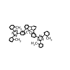 Cc1ccccc1-c1nc(-c2cccc(C3=CC=CC4c5cccc(-c6cccc(-c7nc(-c8ccccc8C)nc(-c8ccccc8C)n7)c6)c5C(C)(C)C34)c2)nc(-c2ccccc2C)n1